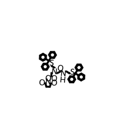 O=C(CN(CCSC(c1ccccc1)(c1ccccc1)c1ccccc1)CC(=O)ON1C(=O)CCC1=O)NCCSC(c1ccccc1)(c1ccccc1)c1ccccc1